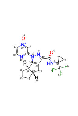 O=C(NC1(C(F)(F)F)CC1)c1nn(-c2c[n+]([O-])ccn2)c2c1C[C@@H]1CCC[C@H]21